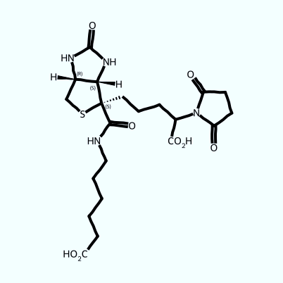 O=C(O)CCCCCNC(=O)[C@@]1(CCCC(C(=O)O)N2C(=O)CCC2=O)SC[C@@H]2NC(=O)N[C@@H]21